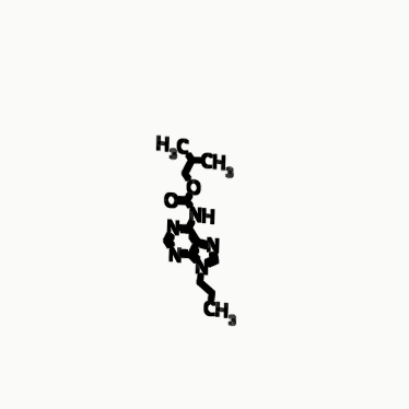 CCCn1cnc2c(NC(=O)OCC(C)C)ncnc21